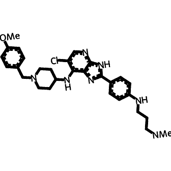 CNCCCNc1ccc(-c2nc3c(NC4CCN(Cc5ccc(OC)cc5)CC4)c(Cl)cnc3[nH]2)cc1